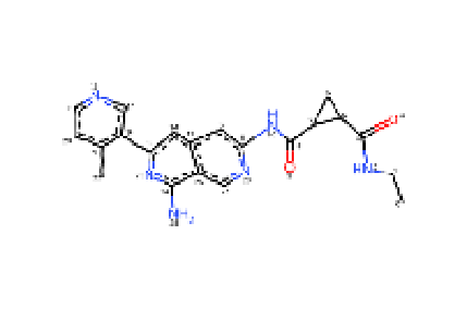 CCNC(=O)C1CC1C(=O)Nc1cc2cc(-c3cnccc3C)nc(N)c2cn1